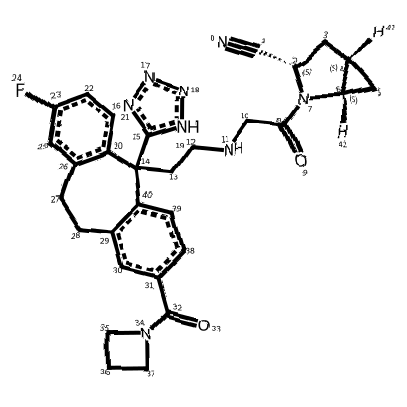 N#C[C@@H]1C[C@@H]2C[C@@H]2N1C(=O)CNCCC1(c2nnn[nH]2)c2ccc(F)cc2CCc2cc(C(=O)N3CCC3)ccc21